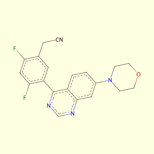 N#CCc1cc(-c2ncnc3cc(N4CCOCC4)ccc23)c(F)cc1F